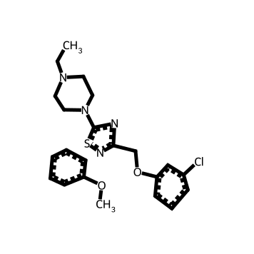 CCN1CCN(c2nc(COc3cccc(Cl)c3)ns2)CC1.COc1ccccc1